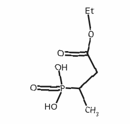 CCOC(=O)CC(C)P(=O)(O)O